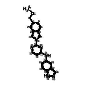 COCc1ccc2cn(-c3nccc(Nc4ccc5[nH]ncc5c4)n3)cc2c1